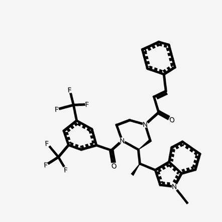 C[C@H](c1cn(C)c2ccccc12)[C@@H]1CN(C(=O)/C=C/c2ccccc2)CCN1C(=O)c1cc(C(F)(F)F)cc(C(F)(F)F)c1